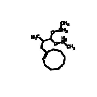 C[SiH2]OC(O[SiH2]C)C(C)CC1=CCCCCCCC1